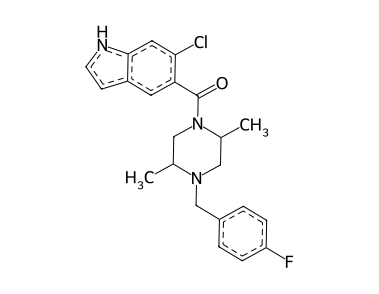 CC1CN(C(=O)c2cc3cc[nH]c3cc2Cl)C(C)CN1Cc1ccc(F)cc1